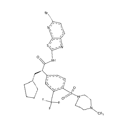 CN1CCN(S(=O)(=O)c2ccc([C@@H](CC3CCCC3)C(=O)Nc3nc4ccc(Br)nc4s3)cc2C(F)(F)F)CC1